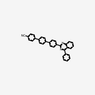 N#Cc1ccc(-c2ccc(-c3ccc(-c4nc(-c5ccccc5)c5ccccc5n4)cc3)cc2)cc1